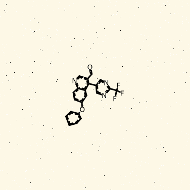 O=Cc1cnc2ccc(Oc3ccccc3)cc2c1-c1cnc(C(F)(F)F)nc1